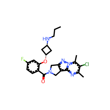 CCCN[C@H]1C[C@H](Oc2cc(F)ccc2C(=O)N2Cc3nn4c(C)c(Cl)c(C)nc4c3C2)C1